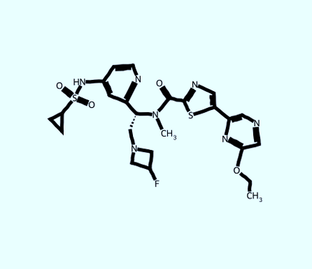 CCOc1cncc(-c2cnc(C(=O)N(C)[C@H](CN3CC(F)C3)c3cc(NS(=O)(=O)C4CC4)ccn3)s2)n1